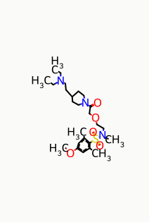 CCN(CC)CCC1CCN(C(=O)COCCN(C)S(=O)(=O)c2c(C)cc(OC)cc2C)CC1